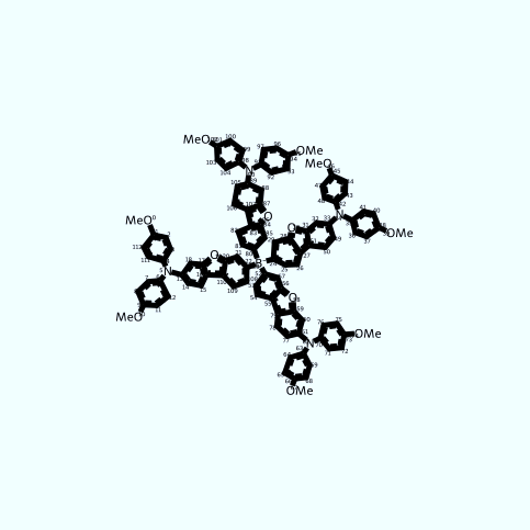 COc1ccc(N(c2ccc(OC)cc2)c2ccc3c(c2)oc2cc([B-](c4ccc5c(c4)oc4cc(N(c6ccc(OC)cc6)c6ccc(OC)cc6)ccc45)(c4ccc5c(c4)oc4cc(N(c6ccc(OC)cc6)c6ccc(OC)cc6)ccc45)c4ccc5c(c4)oc4cc(N(c6ccc(OC)cc6)c6ccc(OC)cc6)ccc45)ccc23)cc1